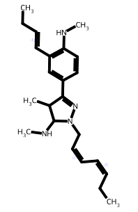 CC/C=C\C=C/CN1N=C(c2ccc(NC)c(/C=C/CC)c2)C(C)C1NC